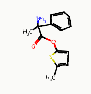 Cc1ccc(OC(=O)C(C)(N)c2ccccc2)s1